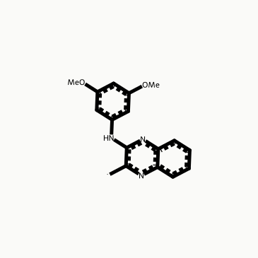 [CH2]c1nc2ccccc2nc1Nc1cc(OC)cc(OC)c1